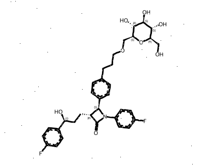 O=C1[C@H](CC[C@H](O)c2ccc(F)cc2)[C@@H](c2ccc(CCCOC[C@@H]3O[C@H](CO)[C@@H](O)[C@H](O)[C@H]3O)cc2)N1c1ccc(F)cc1